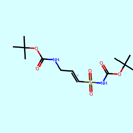 CC(C)(C)OC(=O)NC/C=C/S(=O)(=O)NC(=O)OC(C)(C)C